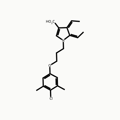 C/C=c1/c(C(=O)O)cn(CCCOc2cc(C)c(Cl)c(C)c2)/c1=C/C